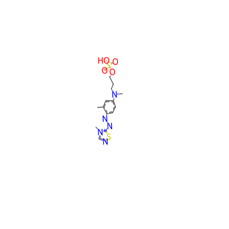 Cc1cc(N(C)CCCOS(=O)(=O)O)ccc1N=Nc1snc[n+]1C